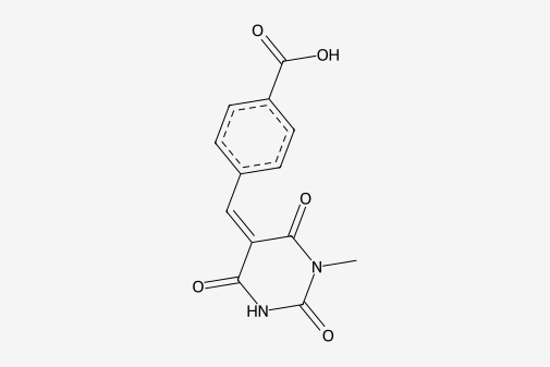 CN1C(=O)NC(=O)C(=Cc2ccc(C(=O)O)cc2)C1=O